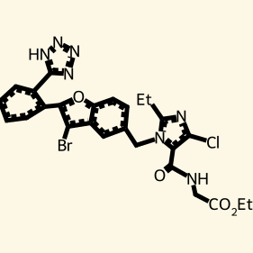 CCOC(=O)CNC(=O)c1c(Cl)nc(CC)n1Cc1ccc2oc(-c3ccccc3-c3nnn[nH]3)c(Br)c2c1